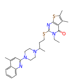 CCn1c(SCCC(C)N2CCN(c3cc(C)c4ccccc4n3)CC2)nc2sc(C)c(C)c2c1=O